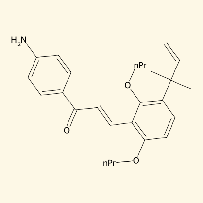 C=CC(C)(C)c1ccc(OCCC)c(C=CC(=O)c2ccc(N)cc2)c1OCCC